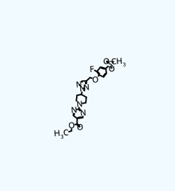 CCOC(=O)c1cnc(N2CCC(n3ncc(COc4ccc(S(C)(=O)=O)cc4F)n3)CC2)nc1